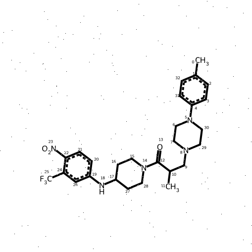 Cc1ccc(N2CCN(CC(C)C(=O)N3CCC(Nc4ccc([N+](=O)[O-])c(C(F)(F)F)c4)CC3)CC2)cc1